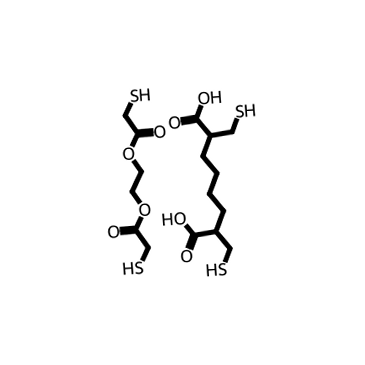 O=C(CS)OCCOC(=O)CS.O=C(O)C(CS)CCCCC(CS)C(=O)O